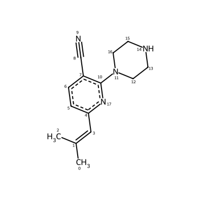 CC(C)=Cc1ccc(C#N)c(N2CCNCC2)n1